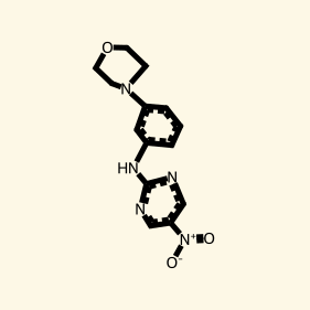 O=[N+]([O-])c1cnc(Nc2cccc(N3CCOCC3)c2)nc1